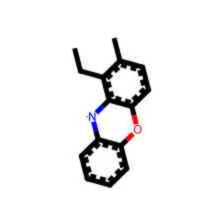 CCc1c(C)ccc2c1[N]c1ccccc1O2